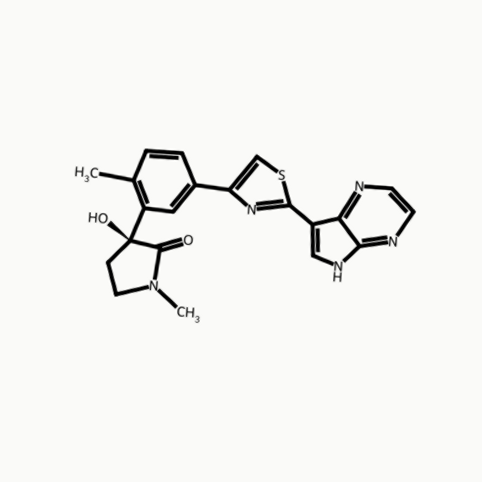 Cc1ccc(-c2csc(-c3c[nH]c4nccnc34)n2)cc1[C@@]1(O)CCN(C)C1=O